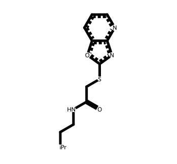 CC(C)CCNC(=O)CSc1nc2ncccc2o1